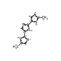 Cc1cnc(-c2cnc(-c3cnc(C)s3)s2)s1